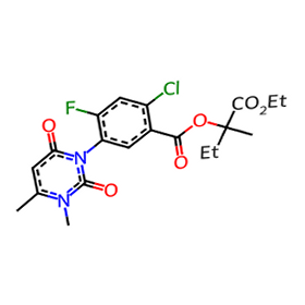 CCOC(=O)C(C)(CC)OC(=O)c1cc(-n2c(=O)cc(C)n(C)c2=O)c(F)cc1Cl